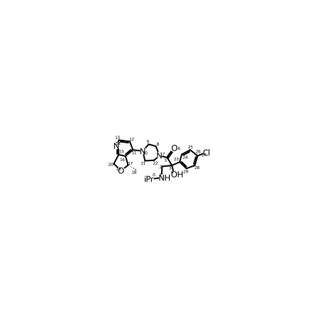 CC(C)NCC(O)(C(=O)N1CCN(c2ccnc3c2[C@H](C)OC3)CC1)c1ccc(Cl)cc1